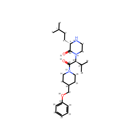 CC(C)CC[C@@H]1NCCN([C@H](C(=O)N2CCC(COc3ccccc3)CC2)C(C)C)C1=O